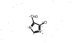 O=CC1=NC=[N+]=C1Cl